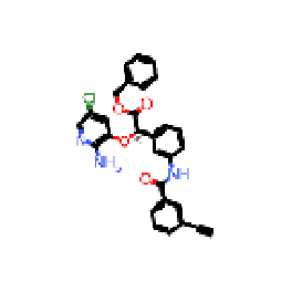 C#Cc1cccc(C(=O)Nc2cccc([C@@H](Oc3cc(Cl)cnc3N)C(=O)OCc3ccccc3)c2)c1